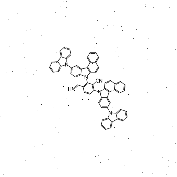 N#Cc1c(-n2c3ccc(-n4c5ccccc5c5ccccc54)cc3c3c4ccccc4ccc32)ccc(C=N)c1-n1c2ccc(-n3c4ccccc4c4ccccc43)cc2c2c3ccccc3ccc21